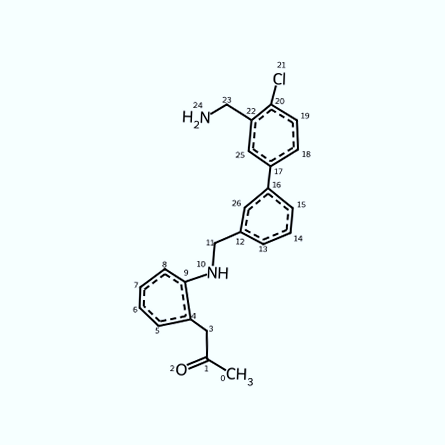 CC(=O)Cc1ccccc1NCc1cccc(-c2ccc(Cl)c(CN)c2)c1